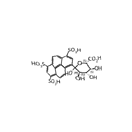 O=C(O)[C@H]1OC(O)(c2cc(S(=O)(=O)O)c3ccc4c(S(=O)(=O)O)cc(S(=O)(=O)O)c5ccc2c3c54)[C@H](O)[C@@H](O)[C@@H]1O